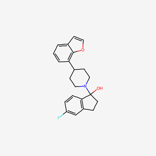 OC1(N2CCC(c3cccc4ccoc34)CC2)CCc2cc(F)ccc21